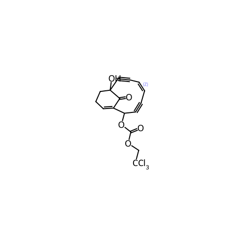 O=C(OCC(Cl)(Cl)Cl)OC1C#C/C=C\C#CC2(O)CCC=C1C2=O